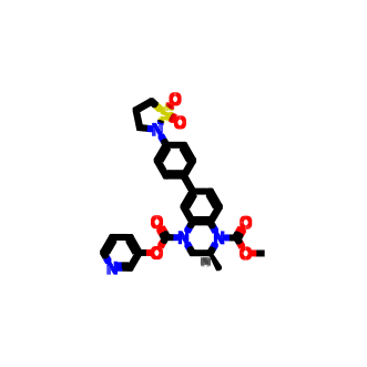 COC(=O)N1c2ccc(-c3ccc(N4CCCS4(=O)=O)cc3)cc2N(C(=O)Oc2cccnc2)C[C@@H]1C